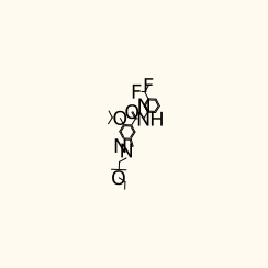 CCOC(C)(C)CCn1cc2cc(C(=O)Nc3cccc(C(F)F)n3)c(OC(C)C)cc2n1